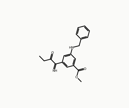 CCC(=O)C(=N)c1cc(NCc2ccccc2)cc(C(=O)OC)c1